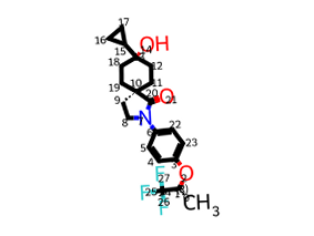 C[C@@H](Oc1ccc(N2CC[C@]3(CC[C@@](O)(C4CC4)CC3)C2=O)cc1)C(F)(F)F